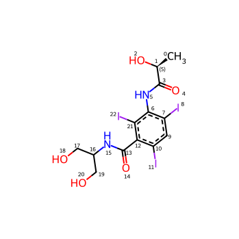 C[C@H](O)C(=O)Nc1c(I)cc(I)c(C(=O)NC(CO)CO)c1I